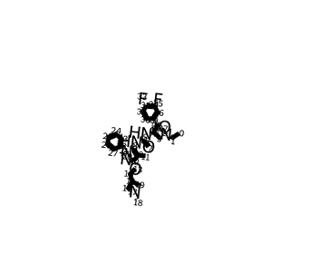 CCN1C[C@@H](NC(=O)Nc2c(C)c(OCC3CN(C)C3)nn2-c2ccccc2)[C@H](c2ccc(F)c(F)c2)O1